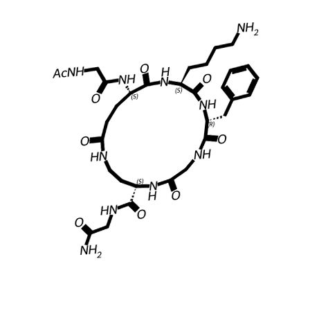 CC(=O)NCC(=O)N[C@H]1CCC(=O)NCC[C@@H](C(=O)NCC(N)=O)NC(=O)CNC(=O)[C@@H](Cc2ccccc2)NC(=O)[C@H](CCCCN)NC1=O